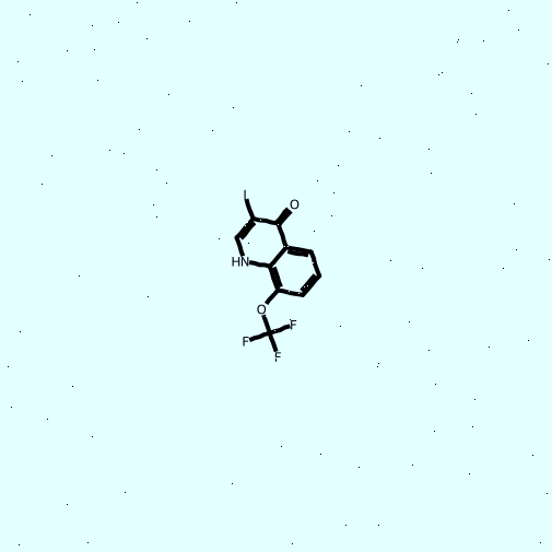 O=c1c(I)c[nH]c2c(OC(F)(F)F)cccc12